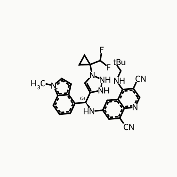 Cn1ccc2c([C@H](Nc3cc(C#N)c4ncc(C#N)c(NCC(C)(C)C)c4c3)C3=CN(C4(C(F)F)CC4)NN3)cccc21